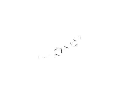 O=[N+]([O-])c1ccc(/C=C/c2ccc(OCCO)cc2)cc1